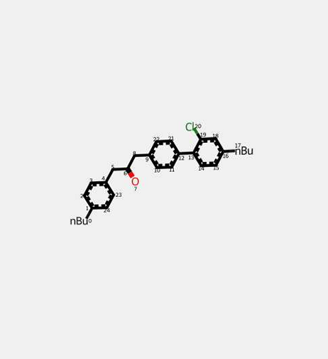 CCCCc1ccc(CC(=O)Cc2ccc(-c3ccc(CCCC)cc3Cl)cc2)cc1